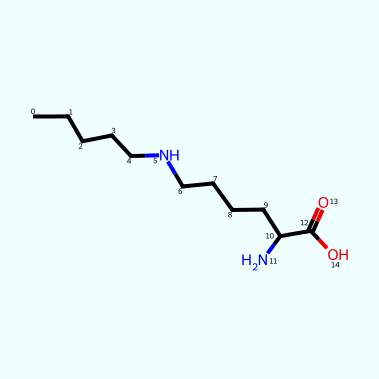 CCCCCNCCCCC(N)C(=O)O